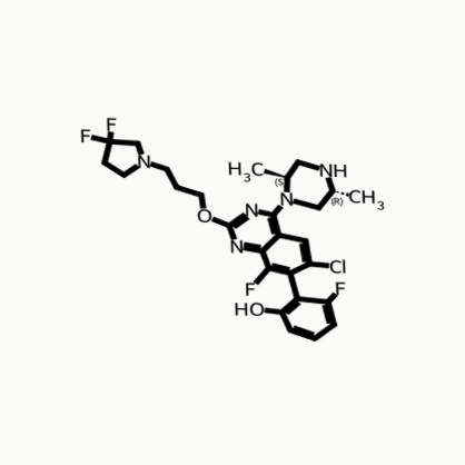 C[C@@H]1CN(c2nc(OCCCN3CCC(F)(F)C3)nc3c(F)c(-c4c(O)cccc4F)c(Cl)cc23)[C@@H](C)CN1